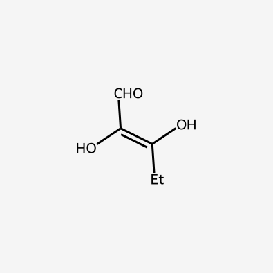 CC/C(O)=C(\O)C=O